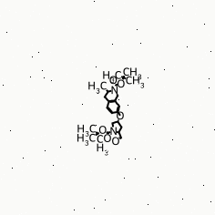 CC1Cc2ccc(O[C@H]3CC(C=O)N(C(=O)OC(C)(C)C)C3)cc2CN1C(=O)OC(C)(C)C